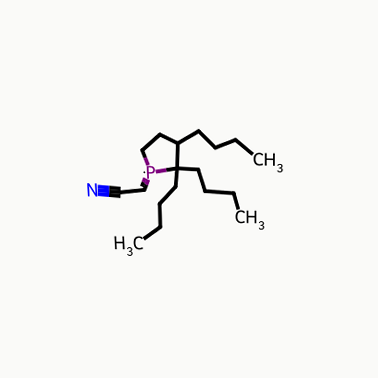 CCCCC1CC[P](=CC#N)C1(CCCC)CCCC